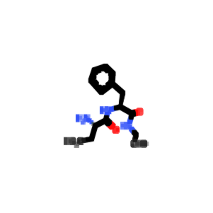 N[C@@H](CC(=O)O)C(=O)N[C@@H](Cc1ccccc1)C(=O)NC[C]=O